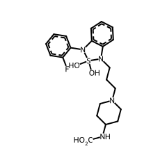 O=C(O)NC1CCN(CCCN2c3ccccc3N(c3ccccc3F)S2(O)O)CC1